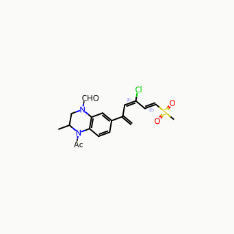 C=C(/C=C(Cl)\C=C\S(C)(=O)=O)c1ccc2c(c1)N(C=O)CC(C)N2C(C)=O